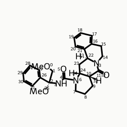 COC[C@](NC(=O)N1CCC[C@H]2C(=O)N3CCc4ccccc4[C@@H]3C[C@H]21)(OC)c1ccccc1